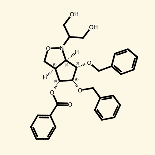 O=C(O[C@@H]1[C@H]2CON(C(CO)CO)[C@H]2[C@H](OCc2ccccc2)[C@@H]1OCc1ccccc1)c1ccccc1